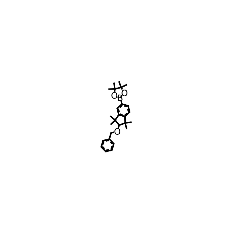 CC1(C)c2ccc(B3OC(C)(C)C(C)(C)O3)cc2C(C)(C)C1OCc1ccccc1